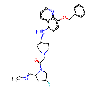 CN=C[C@@H]1C[C@H](F)CN1C(=O)CN1CCC(Nc2ccc(OCc3ccccc3)c3ncccc23)CC1